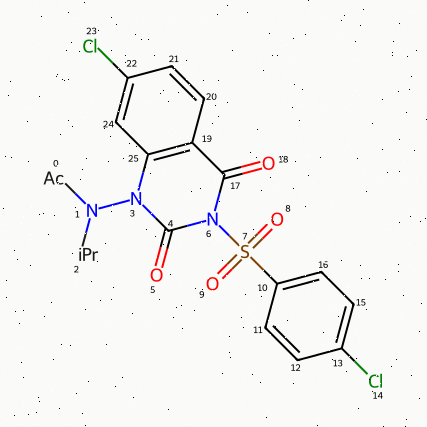 CC(=O)N(C(C)C)n1c(=O)n(S(=O)(=O)c2ccc(Cl)cc2)c(=O)c2ccc(Cl)cc21